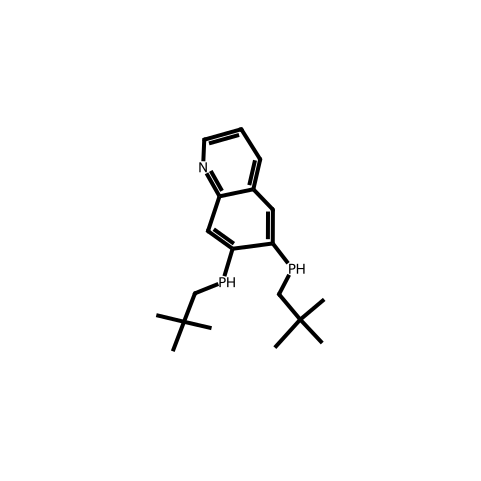 CC(C)(C)CPc1cc2cccnc2cc1PCC(C)(C)C